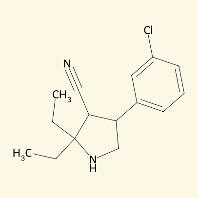 CCC1(CC)NCC(c2cccc(Cl)c2)C1C#N